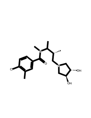 Cc1cc(C(=O)N(C)C(C)[C@H](C)CN2C[C@H](O)[C@@H](O)C2)ccc1Cl